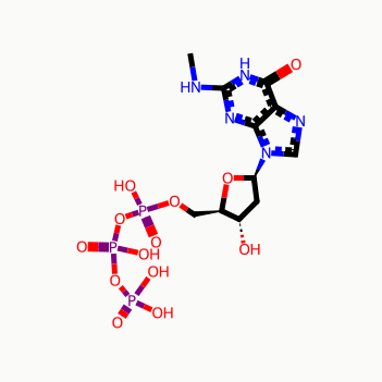 CNc1nc2c(ncn2[C@H]2C[C@H](O)[C@@H](COP(=O)(O)OP(=O)(O)OP(=O)(O)O)O2)c(=O)[nH]1